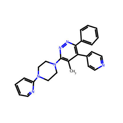 Cc1c(N2CCN(c3ccccn3)CC2)nnc(-c2ccccc2)c1-c1ccncc1